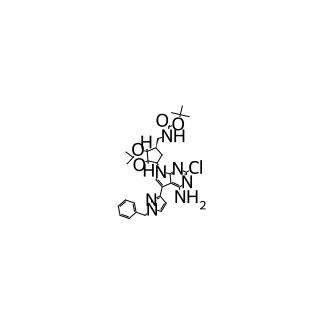 CC(C)(C)OC(=O)NC[C@H]1C[C@@H](n2cc(-c3ccn(Cc4ccccc4)n3)c3c(N)nc(Cl)nc32)[C@@H]2OC(C)(C)O[C@H]12